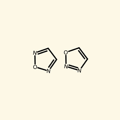 c1cnon1.c1conn1